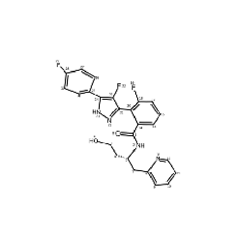 O=C(N[C@@H](CCO)Cc1ccccn1)c1cccc(F)c1-c1n[nH]c(-c2ccc(F)cc2)c1F